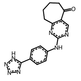 O=C1CCCCc2nc(Nc3ccc(-c4nnn[nH]4)cc3)ncc21